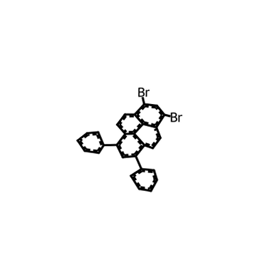 Brc1cc(Br)c2ccc3c(-c4ccccc4)cc(-c4ccccc4)c4ccc1c2c43